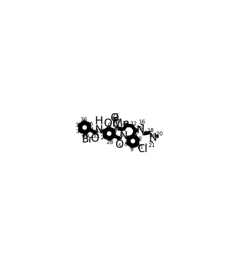 COc1cc(C(=O)N2c3ccc(Cl)cc3C(N(C)CCN(C)C)CCC2C=C=O)ccc1NC(=O)c1ccccc1Br